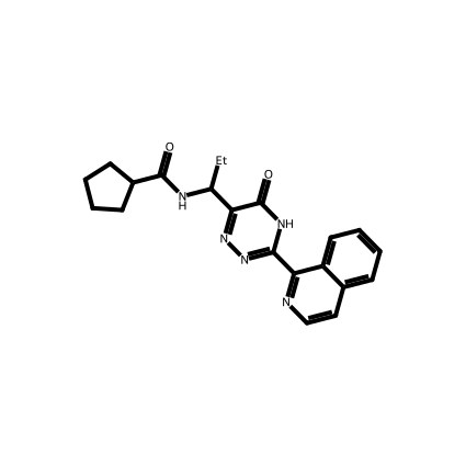 CCC(NC(=O)C1CCCC1)c1nnc(-c2nccc3ccccc23)[nH]c1=O